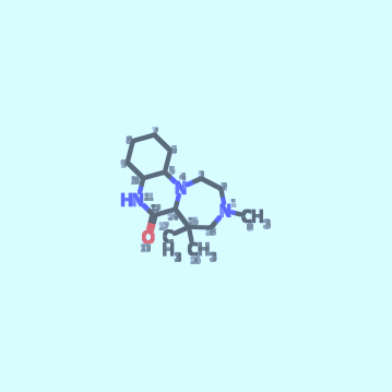 CN1CCN2C3CCCCC3NC(=O)C2C(C)(C)C1